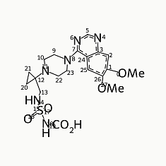 COc1cc2ncnc(N3CCN(C4(CNS(=O)(=O)NC(=O)O)CC4)CC3)c2cc1OC